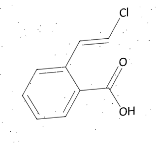 O=C(O)c1ccccc1C=CCl